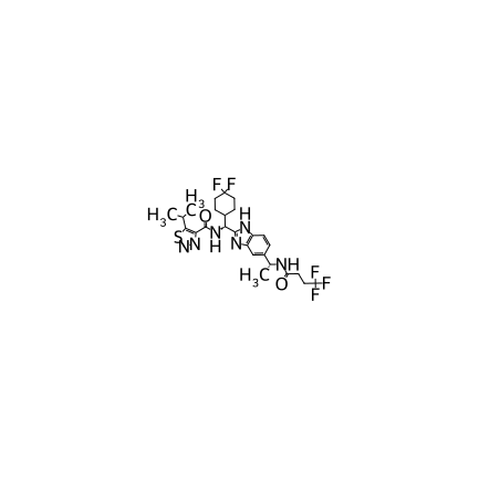 CC(C)c1snnc1C(=O)N[C@H](c1nc2cc([C@@H](C)NC(=O)CCC(F)(F)F)ccc2[nH]1)C1CCC(F)(F)CC1